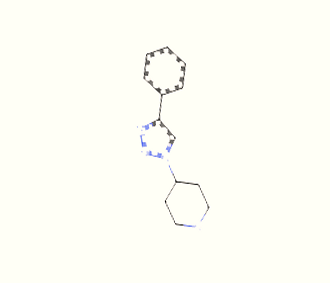 c1ccc(-c2cn(C3CC[N]CC3)nn2)cc1